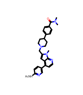 CC(=O)Nc1ccc(-c2ccnc3c2cc(CN2CCC(c4ccc(C(=O)N(C)C)cc4)CC2)n3C)cn1